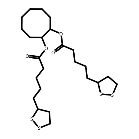 O=C(CCCCC1CCSS1)OC1CCCCCCC1OC(=O)CCCCC1CCSS1